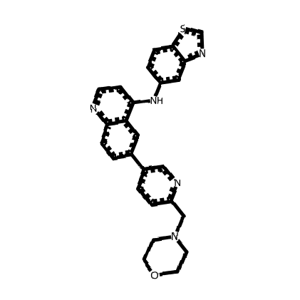 c1cc(Nc2ccc3scnc3c2)c2cc(-c3ccc(CN4CCOCC4)nc3)ccc2n1